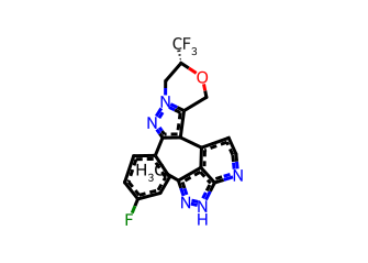 Cc1n[nH]c2nccc(-c3c(-c4ccc(F)cc4)nn4c3CO[C@@H](C(F)(F)F)C4)c12